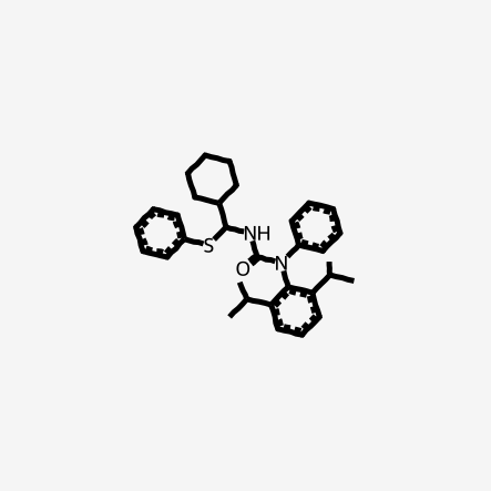 CC(C)c1cccc(C(C)C)c1N(C(=O)NC(Sc1ccccc1)C1CCCCC1)c1ccccc1